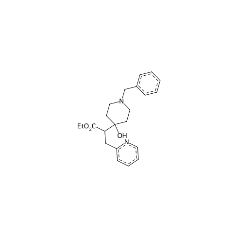 CCOC(=O)C(Cc1ccccn1)C1(O)CCN(Cc2ccccc2)CC1